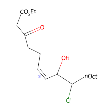 CCCCCCCCC(Cl)C(O)/C=C\CCC(=O)CC(=O)OCC